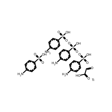 Nc1ccc(S(=O)(=O)O)cc1.Nc1ccc(S(=O)(=O)O)cc1.Nc1ccc(S(=O)(=O)O)cc1.Nc1ccc(S(=O)(=O)O)cc1.O=CC(=O)O.[Ti]